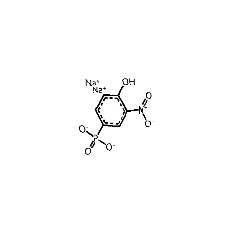 O=[N+]([O-])c1cc(P(=O)([O-])[O-])ccc1O.[Na+].[Na+]